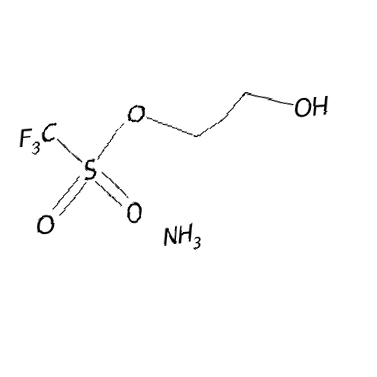 N.O=S(=O)(OCCO)C(F)(F)F